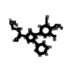 CCOC(=O)c1cc(-c2cccnc2)n(-c2cc(F)c(C)c(F)c2)n1